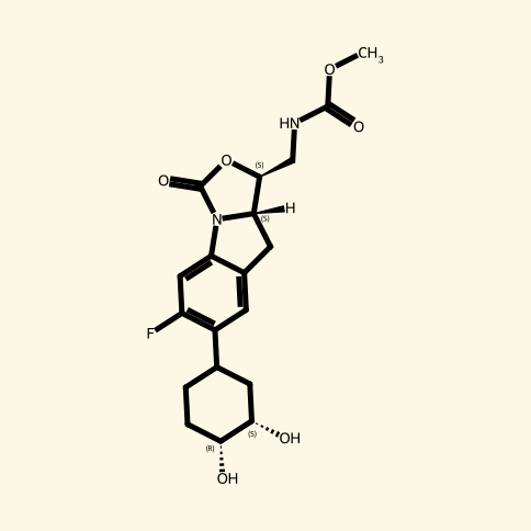 COC(=O)NC[C@@H]1OC(=O)N2c3cc(F)c(C4CC[C@@H](O)[C@@H](O)C4)cc3C[C@@H]12